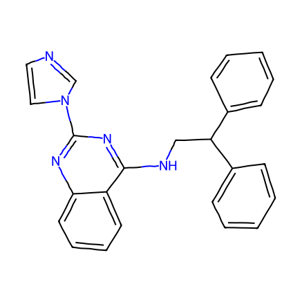 c1ccc(C(CNc2nc(-n3ccnc3)nc3ccccc23)c2ccccc2)cc1